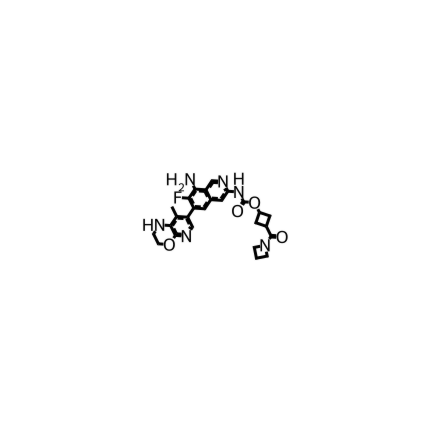 Cc1c(-c2cc3cc(NC(=O)OC4CC(C(=O)N5CCC5)C4)ncc3c(N)c2F)cnc2c1NCCO2